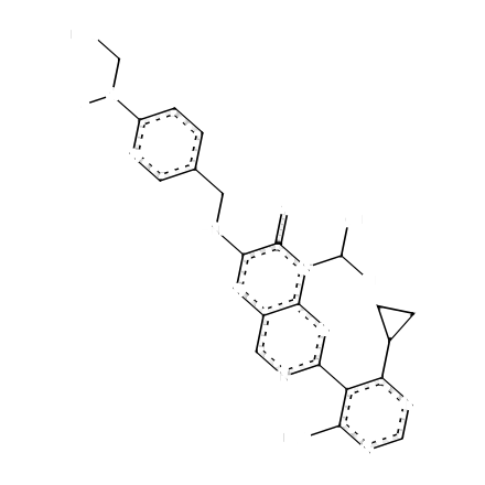 CC[S+]([O-])c1ccc(CNc2nc3cnc(-c4c(C)ncnc4C4CC4)nc3n(C(C)C)c2=O)cn1